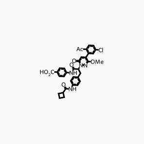 COc1nn(C(Cc2ccc(NC(=O)C3CCC3)cc2)C(=O)Nc2ccc(C(=O)O)cc2)c(=O)cc1-c1cc(Cl)ccc1C(C)=O